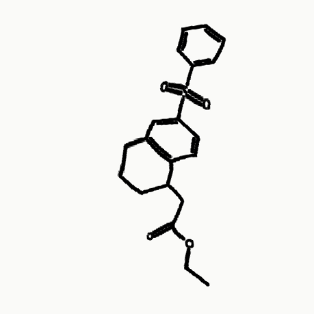 CCOC(=O)CC1CCCc2cc(S(=O)(=O)c3ccccc3)ccc21